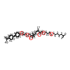 CC(C)CCCCCOCCCOCC(=O)C(C)CCC(C)(C)C(=O)COCCOc1ccc(-c2ccc(C(C)C)cc2)cc1